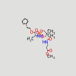 COC(=O)CCNC(=O)[C@@H]1OP(=O)(NC(C)C(=O)OCCc2ccccc2)OCC1(C)C